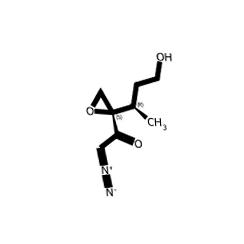 C[C@H](CCO)[C@@]1(C(=O)C=[N+]=[N-])CO1